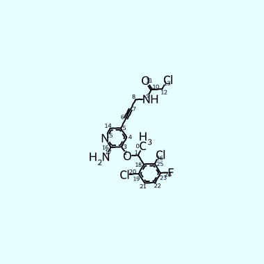 CC(Oc1cc(C#CCNC(=O)CCl)cnc1N)c1c(Cl)ccc(F)c1Cl